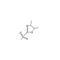 CC1N=C(S(C)(=O)=O)SC1C